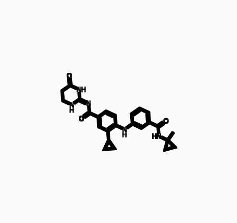 CC1(NC(=O)c2cccc(Nc3ccc(C(=O)/N=C4\NCCC(=O)N4)cc3C3CC3)c2)CC1